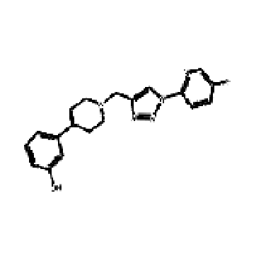 Oc1cccc(C2CCN(Cc3cn(-c4ccc(F)cn4)nn3)CC2)c1